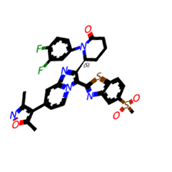 Cc1noc(C)c1-c1ccn2c(-c3nc4cc(S(C)(=O)=O)ccc4s3)c([C@@H]3CCCC(=O)N3c3ccc(F)c(F)c3)nc2c1